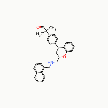 CC(C)(C=O)c1ccc(C2CC(CNCc3cccc4ccccc34)Oc3ccccc32)cc1